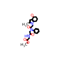 COC(=O)CNC(=O)CN(C(=O)Cn1c(C)cc2c1CCCC2=O)c1ccccc1